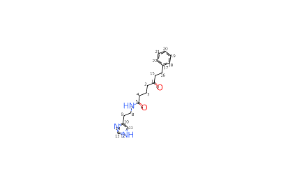 O=C(CCCC(=O)NCCc1c[nH]cn1)CCc1ccccc1